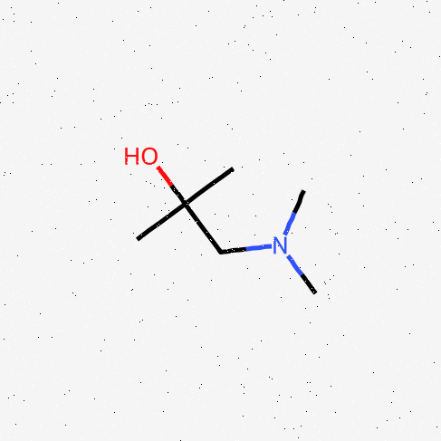 CN(C)CC(C)(C)O